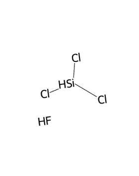 Cl[SiH](Cl)Cl.F